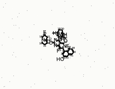 Oc1cc(-c2nc3c4c(nc(OC[C@]56CCCN5C[C@H](F)C6)nc4c2F)N2C[C@@H]4CC[C@@H](N4)[C@@H]2CO3)c2c(F)cccc2c1